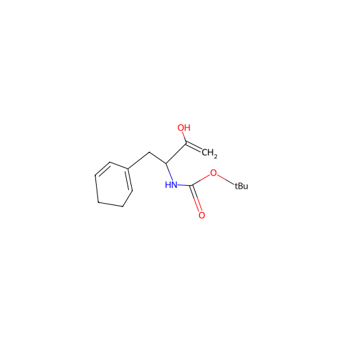 C=C(O)C(CC1=CCCC=C1)NC(=O)OC(C)(C)C